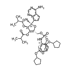 CC(C)C(=O)O[C@H]1[C@@H](OC(=O)C(C)C)[C@](C#N)(c2ccc3c(N)ncnn23)O[C@@H]1CO[P@@](=O)(N[C@@H](CC(=O)OC1CCCC1)C(=O)OC1CCCC1)Oc1ccccc1